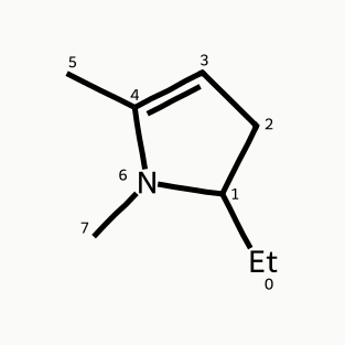 CCC1CC=C(C)N1C